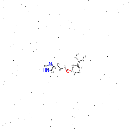 CC=C(CC)c1cccc(OCCCc2c[nH]cn2)c1